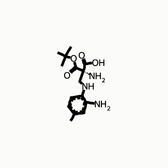 Cc1ccc(NC[C@](N)(C(=O)O)C(=O)OC(C)(C)C)c(N)c1